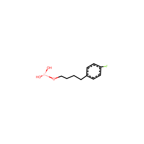 OB(O)OCCCCc1ccc(F)cc1